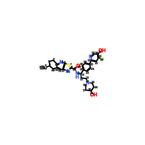 CC(C)(C)[C@H]1CCc2nc3sc(C(=O)N[C@H](CCN4CCC(O)CC4)c4ccc(-c5cc(F)c(O)cn5)cc4)nc3cc2C1